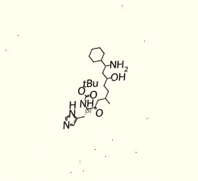 CC(CCC(O)CC(N)C1CCCCC1)CC(=O)[C@H](Cc1cnc[nH]1)NC(=O)OC(C)(C)C